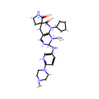 CC(C)N1CCN(c2ccc(NC3N=CC4=C(N3C)N(C3CCCC3)C(=O)C3(CCNC3=O)C4)cn2)CC1